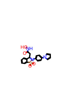 O=C(CC1c2ccccc2S(=O)(=O)N1c1ccc(-n2cccc2)cc1)NO